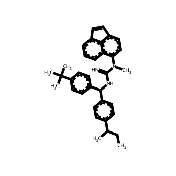 CCC(C)c1ccc(C(NC(=N)N(C)c2ccc3c4c(cccc24)C=C3)c2ccc(C(C)(C)C)cc2)cc1